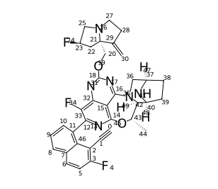 C#Cc1c(F)ccc2cccc(-c3nc4c5c(nc(OC[C@]67C[C@@H](F)CN6CCC7=C)nc5c3F)N3C[C@H]5CC[C@H](N5)[C@H]3[C@H](C)O4)c12